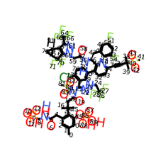 Cc1cc(CC(=O)NCP(=O)(O)O)c(C(C)(C)CC(=O)N(c2nn(CC(F)(F)F)c3c(-c4ccc(C#CC(C)(C)S(C)(=O)=O)nc4[C@H](Cc4cc(F)cc(F)c4)NC(=O)Cn4nc(C(F)(F)F)c5c4C(F)(F)C4C[C@H]54)ccc(Cl)c23)S(C)(=O)=O)c(OP(=O)(O)O)c1